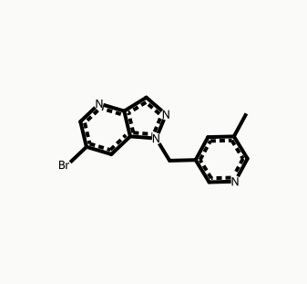 Cc1cncc(Cn2ncc3ncc(Br)cc32)c1